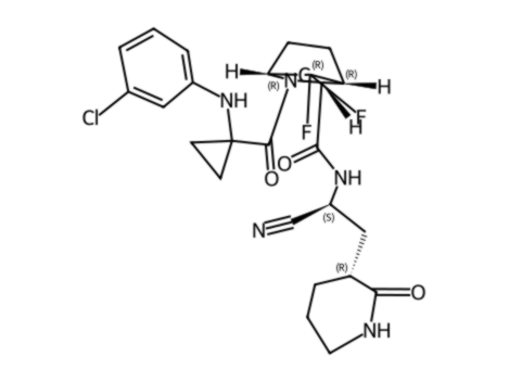 N#C[C@H](C[C@H]1CCCNC1=O)NC(=O)[C@H]1[C@H]2CC[C@H](CC2(F)F)N1C(=O)C1(Nc2cccc(Cl)c2)CC1